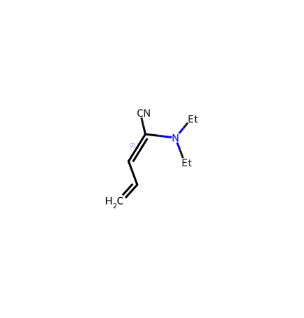 C=C/C=C(/C#N)N(CC)CC